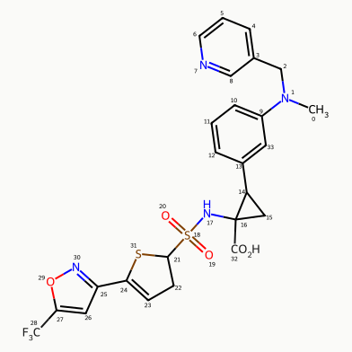 CN(Cc1cccnc1)c1cccc(C2CC2(NS(=O)(=O)C2CC=C(c3cc(C(F)(F)F)on3)S2)C(=O)O)c1